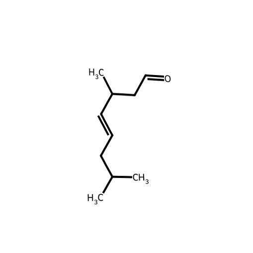 CC(C)CC=CC(C)CC=O